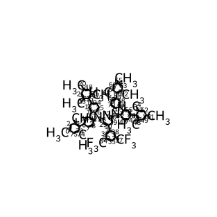 Cc1cc(C)c(-c2ccc3c(c2)c2cc(-c4c(C)cc(C)cc4C)ccc2n3-c2cc(-c3cc(C(F)(F)F)cc(C(F)(F)F)c3)cc(-n3c4ccc(-c5c(C)cc(C)cc5C)cc4c4cc(-c5c(C)cc(C)cc5C)ccc43)n2)c(C)c1